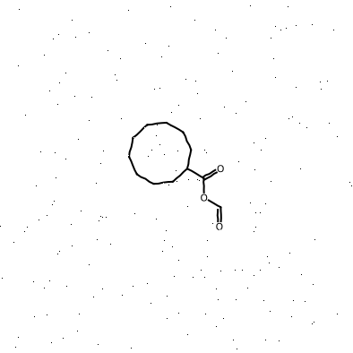 O=COC(=O)C1CCCCCCCCC1